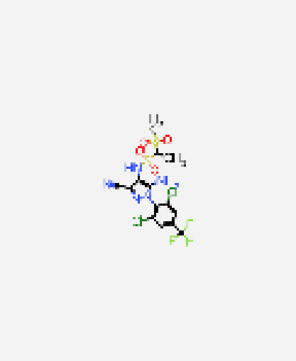 CC(S(C)(=O)=O)S(=O)(=O)Nc1c(C#N)nn(-c2c(Cl)cc(C(F)(F)F)cc2Cl)c1N